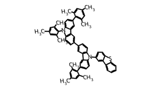 Cc1cc(C)c(-c2ccc3c(c2)c2cc(-c4ccc5c(c4)c4cc(-c6c(C)cc(C)cc6C)ccc4n5-c4c(C)cc(C)cc4C)ccc2n3-c2ccc3sc4ccccc4c3c2)c(C)c1